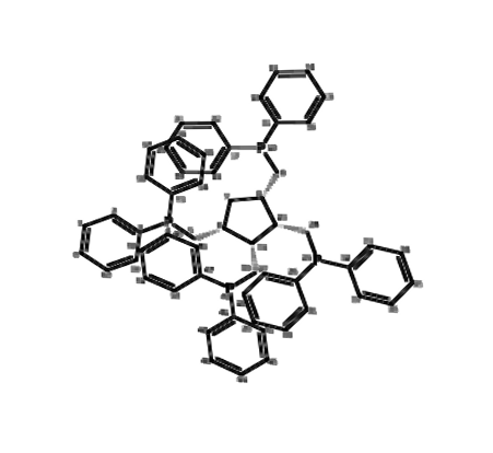 c1ccc(P(C[C@@H]2C[C@H](CP(c3ccccc3)c3ccccc3)[C@H](CP(c3ccccc3)c3ccccc3)[C@@H]2CP(c2ccccc2)c2ccccc2)c2ccccc2)cc1